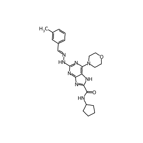 Cc1cccc(/C=N/Nc2nc(N3CCOCC3)c3[nH]c(C(=O)NC4CCCC4)nc3n2)c1